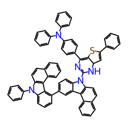 C1=C(c2ccccc2)SC2=C(c3ccc(N(c4ccccc4)c4ccccc4)cc3)N=C(n3c4ccc(-c5cccc6c5c5c7ccccc7ccc5n6-c5ccccc5)cc4c4c5ccccc5ccc43)NC12